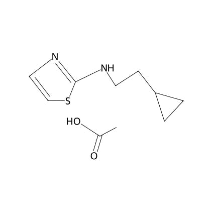 CC(=O)O.c1csc(NCCC2CC2)n1